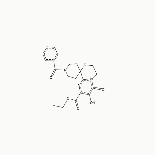 CCOC(=O)c1nc2n(c(=O)c1O)CCOC21CCN(C(=O)c2ccccc2)CC1